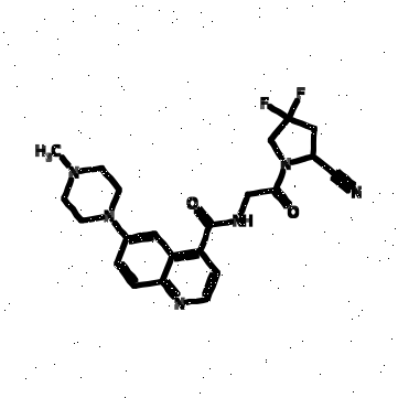 CN1CCN(c2ccc3nccc(C(=O)NCC(=O)N4CC(F)(F)CC4C#N)c3c2)CC1